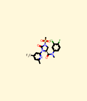 Cc1cc(C(F)(F)F)cc(N2C(=O)N(S(C)(=O)=O)C[C@H]2C(=O)N(C)c2ccc(F)c(Cl)c2)n1